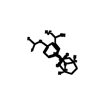 CC(O)CCN[C@@H]1C[C@H]2CC[C@@H](C1)N2S(=O)(=O)c1ccc(OC(F)F)cc1